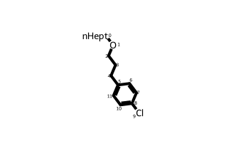 [CH2]CCCCCCOCCCc1ccc(Cl)cc1